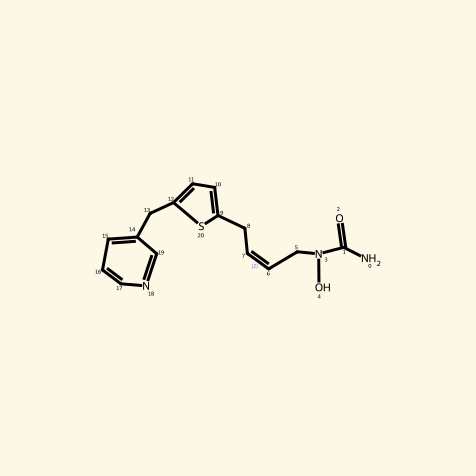 NC(=O)N(O)C/C=C\Cc1ccc(Cc2cccnc2)s1